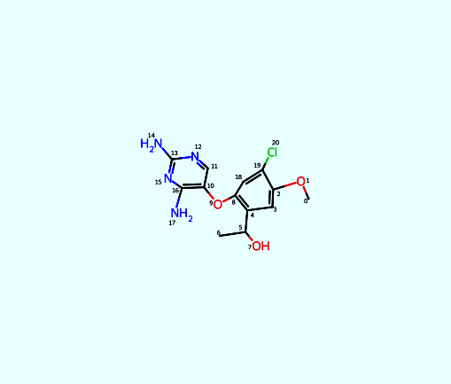 COc1cc(C(C)O)c(Oc2cnc(N)nc2N)cc1Cl